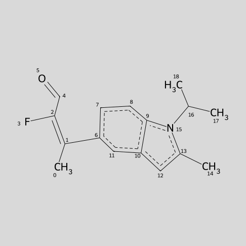 C/C(=C(\F)C=O)c1ccc2c(c1)cc(C)n2C(C)C